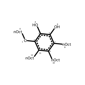 CCCCCCCCOc1c(O)c(O)c(CCCCCCCC)c(CCCCCCCC)c1CCCCCCCC